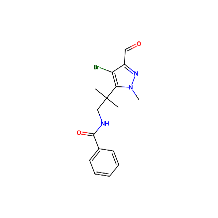 Cn1nc(C=O)c(Br)c1C(C)(C)CNC(=O)c1ccccc1